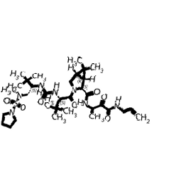 C=CCNC(=O)C(=O)C(C)NC(=O)[C@@H]1[C@@H]2[C@H](CN1C(=O)[C@@H](NC(=O)N[C@H](CN(C)S(=O)(=O)N1CCCC1)C(C)(C)C)C(C)(C)C)C2(C)C